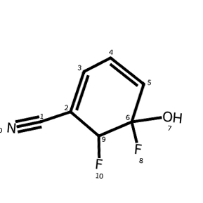 N#CC1=CC=CC(O)(F)C1F